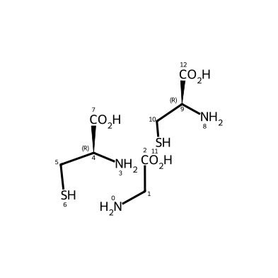 NCC(=O)O.N[C@@H](CS)C(=O)O.N[C@@H](CS)C(=O)O